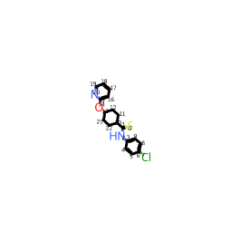 S=C(Nc1ccc(Cl)cc1)C1CCC(Oc2ccccn2)CC1